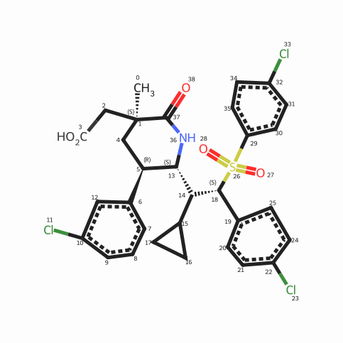 C[C@@]1(CC(=O)O)C[C@H](c2cccc(Cl)c2)[C@@H](C(C2CC2)[C@@H](c2ccc(Cl)cc2)S(=O)(=O)c2ccc(Cl)cc2)NC1=O